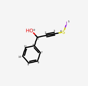 OC(C#CSI)c1ccccc1